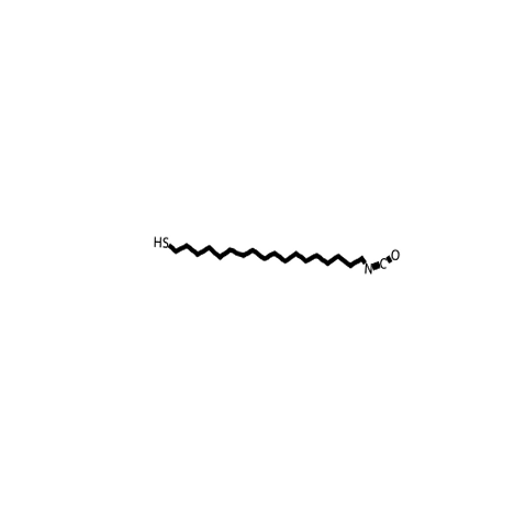 O=C=NCCCCCCCCCCCCCCCCCCS